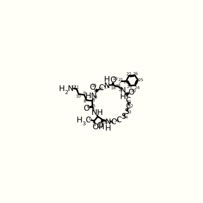 CC(O)C1NC(=O)C(CCCCN)NC(=O)CNC(=O)[C@H](Cc2ccccc2)NC(=O)CCSSCCNC1=O